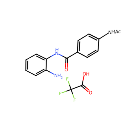 CC(=O)Nc1ccc(C(=O)Nc2ccccc2N)cc1.O=C(O)C(F)(F)F